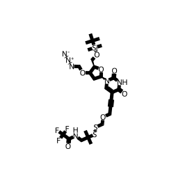 CC(C)(CNC(=O)C(F)(F)F)SSCOCC#Cc1cn([C@H]2CC(OCN=[N+]=[N-])[C@@H](CO[Si](C)(C)C(C)(C)C)O2)c(=O)[nH]c1=O